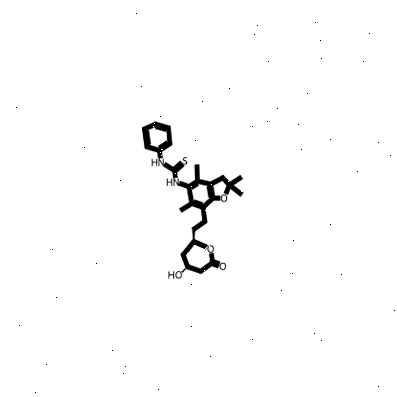 Cc1c(CC[C@@H]2C[C@@H](O)CC(=O)O2)c2c(c(C)c1NC(=S)Nc1ccccc1)CC(C)(C)O2